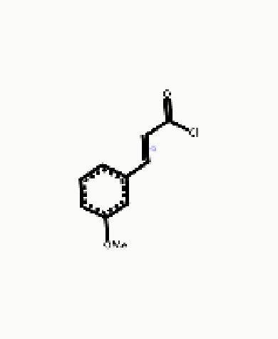 COc1cccc(/C=C/C(=O)Cl)c1